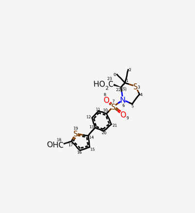 CC1(C)SCCN(S(=O)(=O)c2ccc(-c3ccc(C=O)s3)cc2)[C@H]1C(=O)O